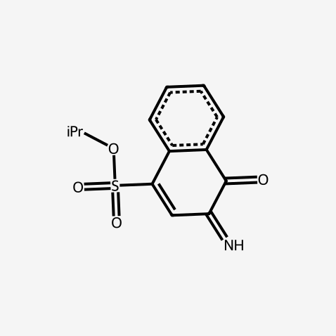 CC(C)OS(=O)(=O)C1=CC(=N)C(=O)c2ccccc21